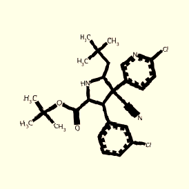 CC(C)(C)CC1NC(C(=O)OC(C)(C)C)C(c2cccc(Cl)c2)C1(C#N)c1ccc(Cl)nc1